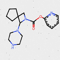 O=C(Oc1ccccn1)N1CC2(CCCC2)C1N1CCNCC1